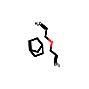 C1=C2CCC(C1)C2.C=CCOCC=C